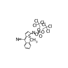 Cc1ccccc1C(C#N)=C1C=CC(=NOP(=O)(OCC(Cl)(Cl)Cl)OCC(Cl)(Cl)Cl)S1